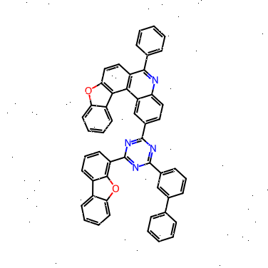 c1ccc(-c2cccc(-c3nc(-c4ccc5nc(-c6ccccc6)c6ccc7oc8ccccc8c7c6c5c4)nc(-c4cccc5c4oc4ccccc45)n3)c2)cc1